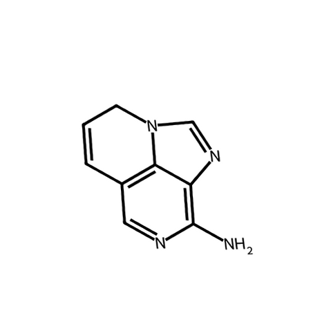 Nc1ncc2c3c1ncn3CC=C2